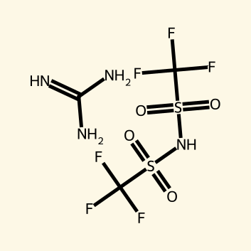 N=C(N)N.O=S(=O)(NS(=O)(=O)C(F)(F)F)C(F)(F)F